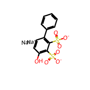 O=S(=O)([O-])c1c(O)ccc(-c2ccccc2)c1S(=O)(=O)[O-].[Na+].[Na+]